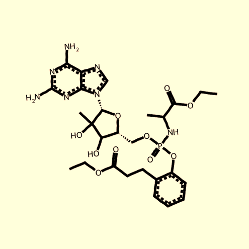 CCOC(=O)CCc1ccccc1OP(=O)(NC(C)C(=O)OCC)OC[C@H]1O[C@@H](n2cnc3c(N)nc(N)nc32)C(C)(O)C1O